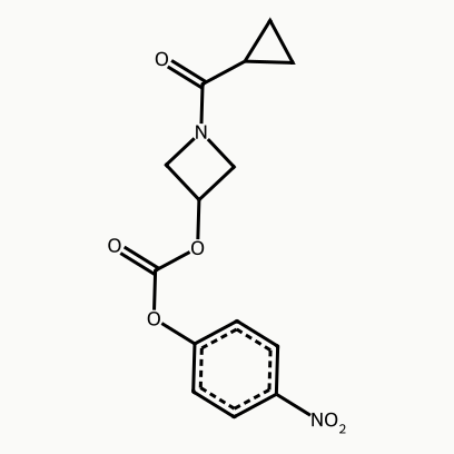 O=C(Oc1ccc([N+](=O)[O-])cc1)OC1CN(C(=O)C2CC2)C1